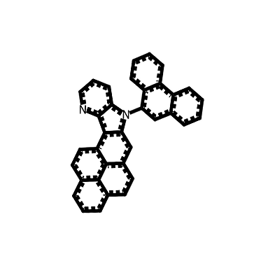 c1ccc2c(c1)cc(-n1c3cccnc3c3c4ccc5cccc6ccc(cc31)c4c65)c1ccccc12